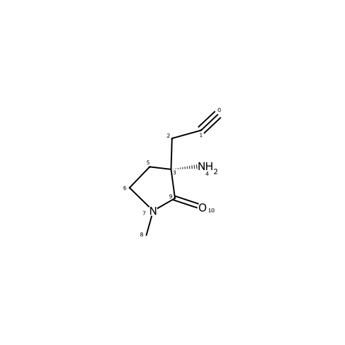 C#CC[C@]1(N)CCN(C)C1=O